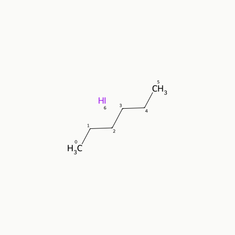 CCCCCC.I